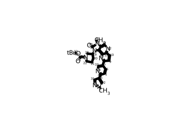 Cn1cc(-c2ccc(-c3ccc4ncc5c(c4n3)n(C3CCCN(C(=O)OC(C)(C)C)C3)c(=O)n5C)cn2)cn1